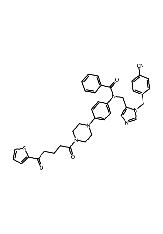 N#Cc1ccc(Cn2cncc2CN(C(=O)c2ccccc2)c2ccc(N3CCN(C(=O)CCCC(=O)c4cccs4)CC3)cc2)cc1